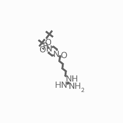 CC(C)(C)COP(=O)(N1CCN(C(=O)CCCCCNC(=N)N)CC1)C(C)(C)C